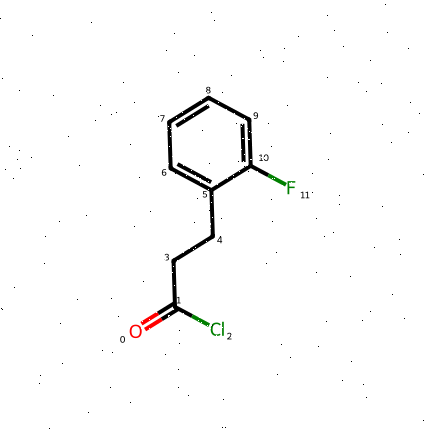 O=C(Cl)CCc1ccccc1F